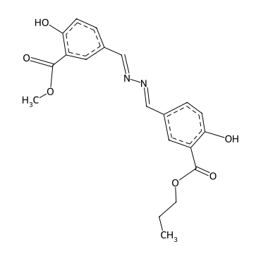 CCCOC(=O)c1cc(/C=N/N=C/c2ccc(O)c(C(=O)OC)c2)ccc1O